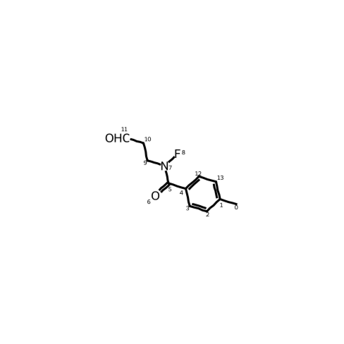 Cc1ccc(C(=O)N(F)CCC=O)cc1